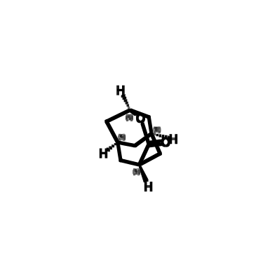 O=C1O[C@H]2C[C@H]3C[C@@H](C2)C[C@@H]1C3